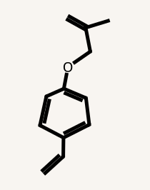 C=Cc1ccc(OCC(=C)C)cc1